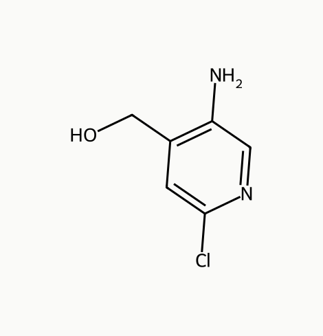 Nc1cnc(Cl)cc1CO